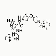 Cc1nsc(Nc2cncc(C(F)(F)F)n2)c1C(=O)Nc1ccc(OC2CCN(C(C)C)CC2)nc1